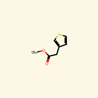 CC(C)(C)OC(=O)Cc1ccsc1